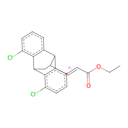 CCOC(=O)/C=C/C1CC2c3c(Cl)cccc3C1c1cccc(Cl)c12